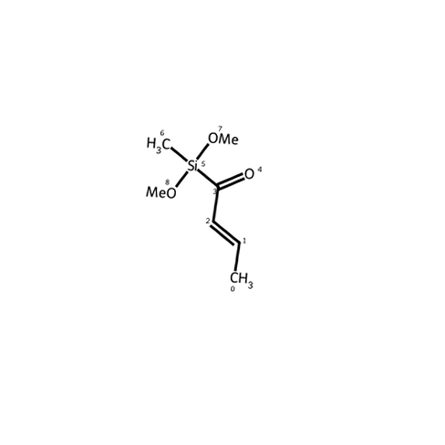 CC=CC(=O)[Si](C)(OC)OC